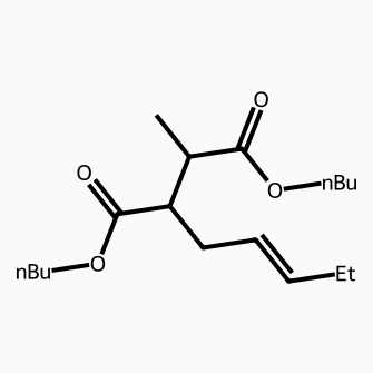 CCC=CCC(C(=O)OCCCC)C(C)C(=O)OCCCC